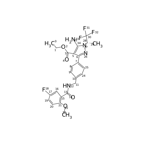 CCOC(=O)c1c(-c2ccc(CNC(=O)c3cc(F)ccc3OC)cc2)nn([C@@H](C)C(F)(F)F)c1N